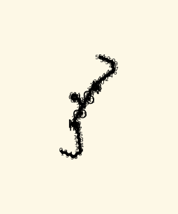 CCCCC/C=C\C/C=C\CCCCCCCCn1cc(CCOC(=O)CCN(CCC(=O)OCCc2cn(CCCCCCC/C=C\C/C=C\CCCCC)nn2)CCN2CCCC2)nn1